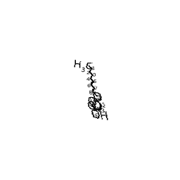 CCCCCC=CCCOC(=O)/C=C\C(=O)O